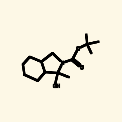 CC(C)(C)OC(=O)N1CC2CCCCC2C1(C)O